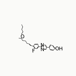 CCCCCOC(C)CCCC=Cc1ccc(-c2ncc(-c3ccc(O)cc3)cn2)cc1F